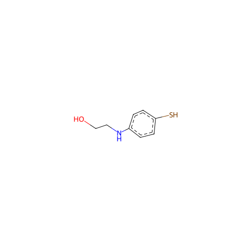 OCCNc1ccc(S)cc1